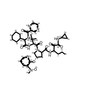 CCCC(NC(=O)C1C[C@H](Oc2ncccc2[N+](C)=O)CN1C(=O)C(NC(=O)C(NC(=O)c1cnccn1)C1CCCCC1)C(C)(C)C)C(=O)C(=O)NC1CC1